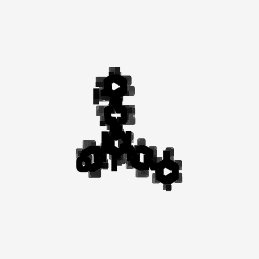 Cc1ccccc1N1CCN(c2nc(N3CCN(c4ccccc4F)CC3)nc(N3CCOCC3)c2F)CC1